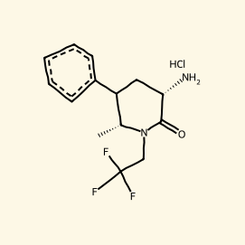 C[C@@H]1C(c2ccccc2)C[C@H](N)C(=O)N1CC(F)(F)F.Cl